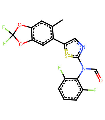 Cc1cc2c(cc1-c1cnc(N(C=O)c3c(F)cccc3F)s1)OC(F)(F)O2